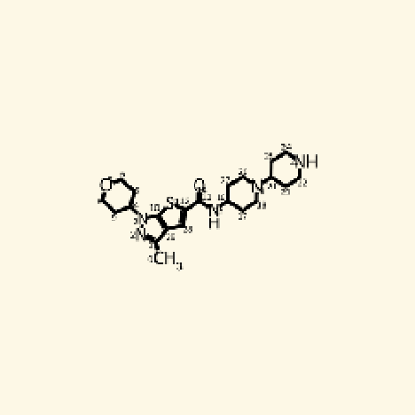 Cc1nn(C2CCOCC2)c2sc(C(=O)NC3CCN(C4CCNCC4)CC3)cc12